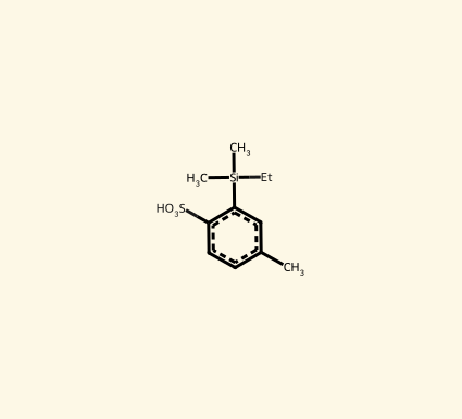 CC[Si](C)(C)c1cc(C)ccc1S(=O)(=O)O